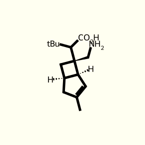 CC1=C[C@H]2[C@@H](C1)C[C@]2(CN)C(C(=O)O)C(C)(C)C